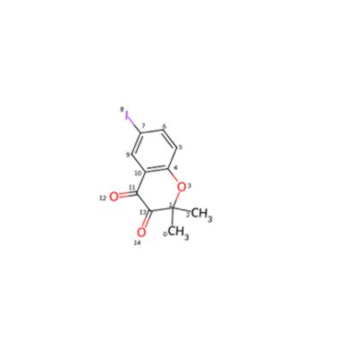 CC1(C)Oc2ccc(I)cc2C(=O)C1=O